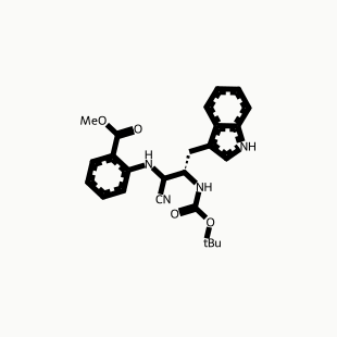 COC(=O)c1ccccc1NC(C#N)[C@H](Cc1c[nH]c2ccccc12)NC(=O)OC(C)(C)C